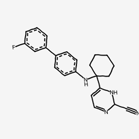 N#CC1N=CC=C(C2(Nc3ccc(-c4cccc(F)c4)cc3)CCCCC2)N1